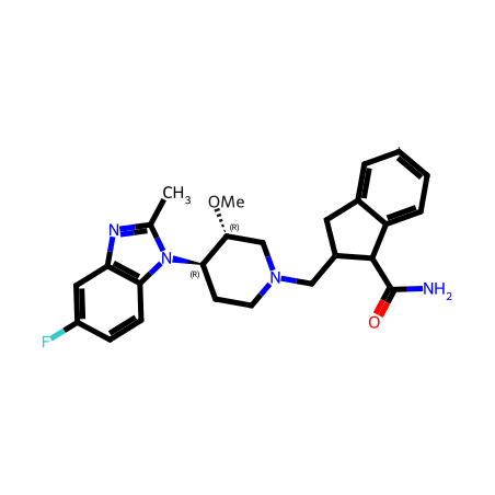 CO[C@@H]1CN(CC2Cc3c[c]ccc3C2C(N)=O)CC[C@H]1n1c(C)nc2cc(F)ccc21